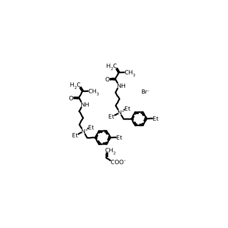 C=C(C)C(=O)NCCC[N+](CC)(CC)Cc1ccc(CC)cc1.C=C(C)C(=O)NCCC[N+](CC)(CC)Cc1ccc(CC)cc1.C=CC(=O)[O-].[Br-]